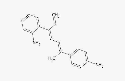 C=C/C(=C\C=C(/C)c1ccc(N)cc1)c1ccccc1N